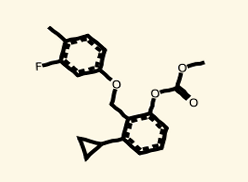 COC(=O)Oc1cccc(C2CC2)c1COc1ccc(C)c(F)c1